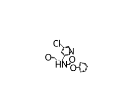 O=CC[C@@H](NC(=O)Oc1ccccc1)c1cncc(Cl)c1